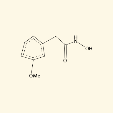 COc1cccc(CC(=O)NO)c1